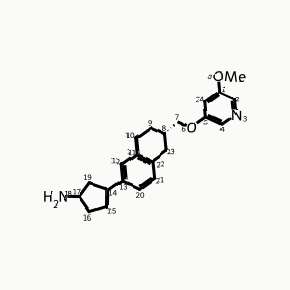 COc1cncc(OC[C@H]2CCc3cc(C4CCC(N)C4)ccc3C2)c1